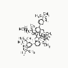 COc1ccc(-c2cc(C(C)(C)C)cc(C(C)(C)C)c2)c2c1[CH]([Zr]([CH3])([CH3])(=[SiH2])[CH]1C(C)=Cc3c(-c4ccc(C(C)(C)C)cc4)cc(C(C)(C)C)cc31)C(C)=C2.Cl.Cl